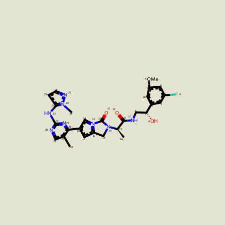 COc1cc(F)cc([C@H](O)CNC(=O)[C@@H](C)N2Cc3cc(-c4nc(Nc5ccnn5C)ncc4C)cn3C2=O)c1